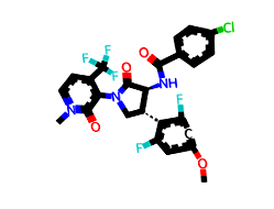 COc1cc(F)c([C@@H]2CN(c3c(C(F)(F)F)ccn(C)c3=O)C(=O)[C@H]2NC(=O)c2ccc(Cl)cc2)c(F)c1